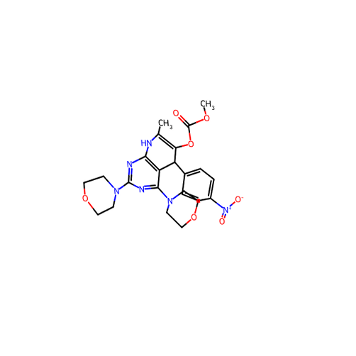 COC(=O)OC1=C(C)Nc2nc(N3CCOCC3)nc(N3CCOCC3)c2C1c1ccc([N+](=O)[O-])cc1